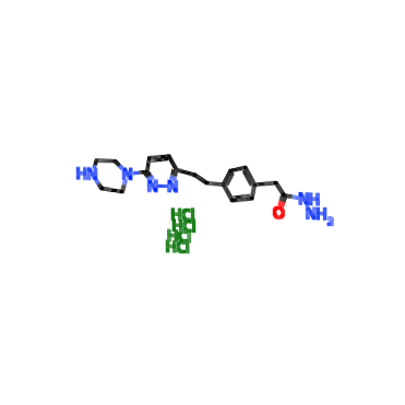 Cl.Cl.Cl.Cl.NNC(=O)Cc1ccc(CCc2ccc(N3CCNCC3)nn2)cc1